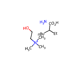 CCCCC(CC)C(=O)O.C[N+](C)(C)CCO.N